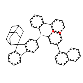 c1ccc(-c2ccccc2N(c2cccc(-c3cccc4ccccc34)c2)c2ccc3c(c2)C2(c4ccccc4-3)C3CC4CC(C3)CC2C4)cc1